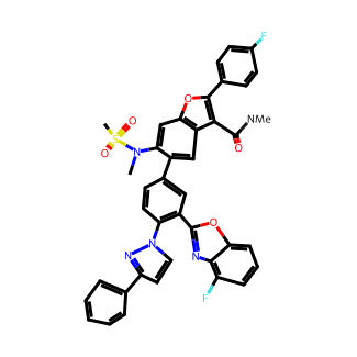 CNC(=O)c1c(-c2ccc(F)cc2)oc2cc(N(C)S(C)(=O)=O)c(-c3ccc(-n4ccc(-c5ccccc5)n4)c(-c4nc5c(F)cccc5o4)c3)cc12